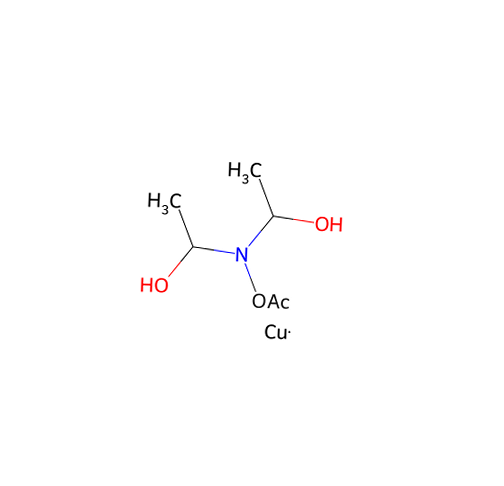 CC(=O)ON(C(C)O)C(C)O.[Cu]